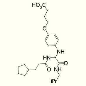 CC(C)CNC(=O)C(NC(=O)CCC1CCCC1)Nc1ccc(OCCCC(=O)O)cc1